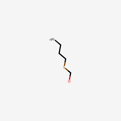 CCCCCCSC[O]